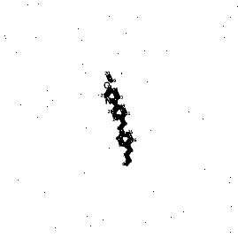 CCCCc1ccc(CCc2ccc(-c3ccc(OCC)cn3)cc2)cc1